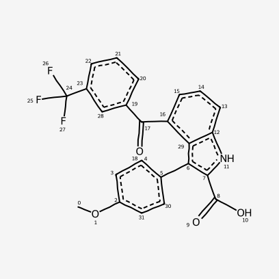 COc1ccc(-c2c(C(=O)O)[nH]c3cccc(C(=O)c4cccc(C(F)(F)F)c4)c23)cc1